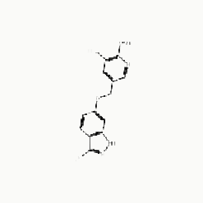 COc1ncc(COc2ccc3c(N)n[nH]c3c2)cc1C